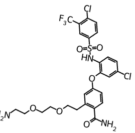 NCCOCCOCCc1cc(Oc2cc(Cl)ccc2NS(=O)(=O)c2ccc(Cl)c(C(F)(F)F)c2)ccc1C(N)=O